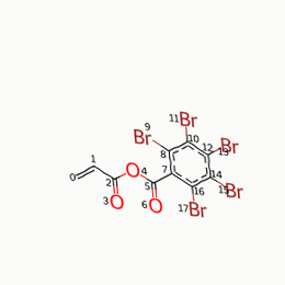 C=CC(=O)OC(=O)c1c(Br)c(Br)c(Br)c(Br)c1Br